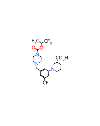 O=C(O)[C@H]1CCCN(c2cc(CN3CCN(C(=O)OC(C(F)(F)F)C(F)(F)F)CC3)cc(C(F)(F)F)c2)C1